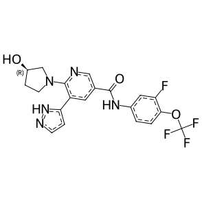 O=C(Nc1ccc(OC(F)(F)F)c(F)c1)c1cnc(N2CC[C@@H](O)C2)c(-c2ccn[nH]2)c1